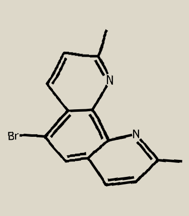 Cc1ccc2cc(Br)c3ccc(C)nc3c2n1